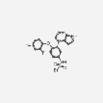 CCS(=O)(=O)Nc1ccc(Oc2ccc(F)cc2F)c(-c2ccnc3[nH]ccc23)c1